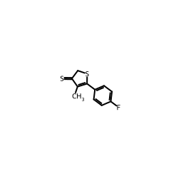 CC1=C(c2ccc(F)cc2)SCC1=S